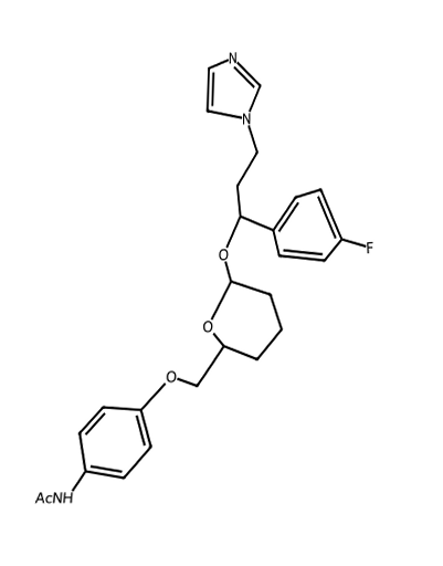 CC(=O)Nc1ccc(OCC2CCCC(OC(CCn3ccnc3)c3ccc(F)cc3)O2)cc1